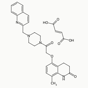 Cc1ccc(OCC(=O)N2CCN(Cc3ccc4ccccc4n3)CC2)c2c1NC(=O)CC2.O=C(O)C=CC(=O)O